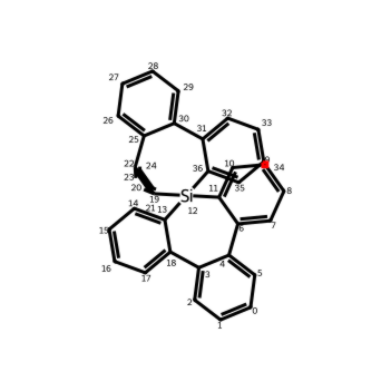 c1ccc2c(c1)-c1ccccc1[Si]1(c3ccccc3-2)c2ccccc2-c2ccccc2-c2ccccc21